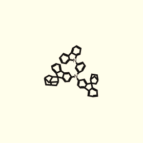 c1cc(N(c2ccc3c(c2)-c2ccccc2C32C3CC4CC(C3)CC2C4)c2ccc3c(c2)C2(CC4CCC2C4)c2ccccc2-3)cc(-n2c3ccccc3c3ccccc32)c1